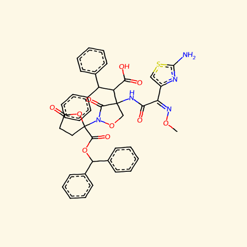 CO/N=C(\C(=O)NC1(C(C(=O)O)C(c2ccccc2)c2ccccc2)CON(C2(C(=O)OC(c3ccccc3)c3ccccc3)CCC(=O)O2)C1=O)c1csc(N)n1